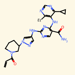 C=CC(=O)N1CCCC(n2cc(Nc3ncc(C(N)=O)c(Nc4c(CC)ncnc4C4CC4)n3)cn2)C1